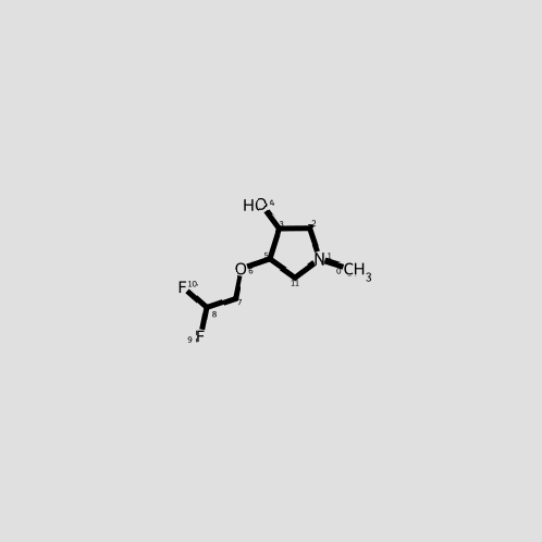 CN1CC(O)C(OCC(F)F)C1